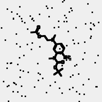 CC(=O)OCCN(C)c1ccc(N)c(N(C)C(=O)OC(C)(C)C)c1